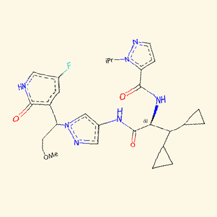 COCC(c1cc(F)c[nH]c1=O)n1cc(NC(=O)[C@@H](NC(=O)c2ccnn2C(C)C)C(C2CC2)C2CC2)cn1